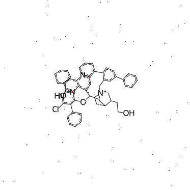 OCCC1C[N+]2(Cc3cc(-c4ccccc4)ccc3-c3ccccc3)CCC1CC2C(Oc1nc(-c2ccccc2)nc(Cl)c1-c1ccccc1)c1ccnc2ccc(O)cc12